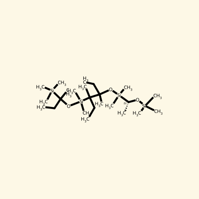 CCC(C)(O[Si](C)(C)[C@@H](C)O[Si](C)(C)C)C(C)(CC)[Si](C)(C)OC(C)(CC)[Si](C)(C)C